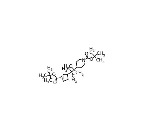 CC(C)(C)OC(=O)N1CCC(C(C)(C)C(C)(C)C2CCN(C(=O)OC(C)(C)C)C2)CC1